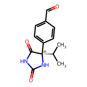 CC(C)[C@]1(c2ccc([C]=O)cc2)NC(=O)NC1=O